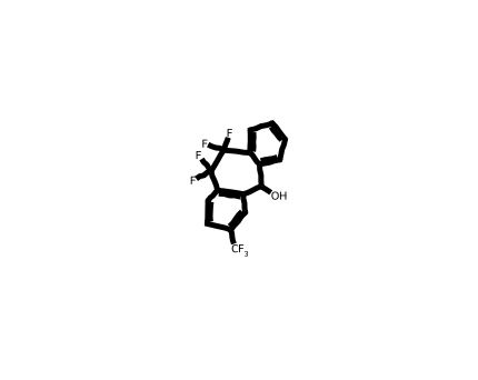 OC1c2ccccc2C(F)(F)C(F)(F)c2ccc(C(F)(F)F)cc21